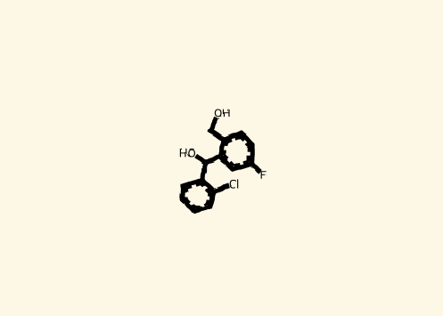 OCc1ccc(F)cc1C(O)c1ccccc1Cl